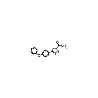 NC(=O)C1CC(c2ccc(Oc3ccccc3)cc2)=NO1